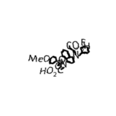 COc1ccc(S(=O)(=O)N(CC(=O)O)c2ccc(N(Cc3cccc(F)c3)[C@@H](C)CC(=O)O)c3ccccc23)cc1